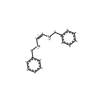 C(=C/[Te]Cc1ccccc1)/[Te]Cc1ccccc1